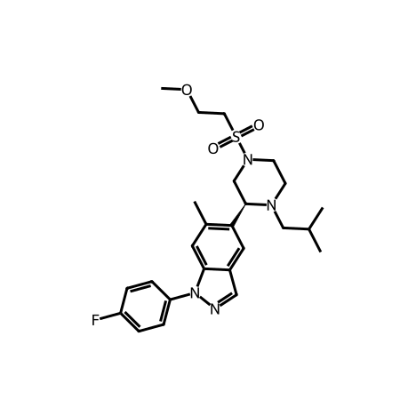 COCCS(=O)(=O)N1CCN(CC(C)C)[C@@H](c2cc3cnn(-c4ccc(F)cc4)c3cc2C)C1